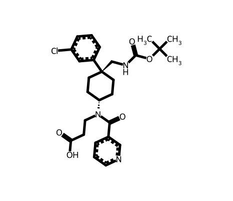 CC(C)(C)OC(=O)NC[C@]1(c2cccc(Cl)c2)CC[C@@H](N(CCC(=O)O)C(=O)c2cccnc2)CC1